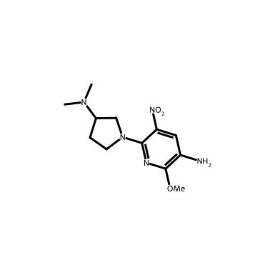 COc1nc(N2CCC(N(C)C)C2)c([N+](=O)[O-])cc1N